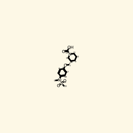 CN(c1ccc(OC[C@H]2CCCN(C(=O)O)C2)cc1)S(C)(=O)=O